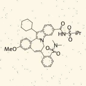 COc1ccc2c(c1)C=C(c1ccccc1S(=O)(=O)N(C)C)Cn1c-2c(C2CCCCC2)c2ccc(C(=O)NS(=O)(=O)C(C)C)cc21